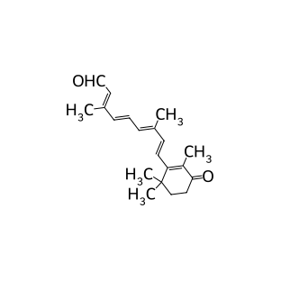 CC(C=CC=C(C)C=CC1=C(C)C(=O)CCC1(C)C)=CC=O